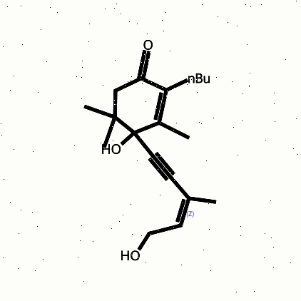 CCCCC1=C(C)C(O)(C#C/C(C)=C\CO)C(C)(C)CC1=O